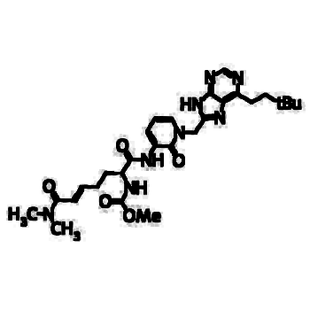 COC(=O)N[C@@H](CC/C=C/C(=O)N(C)C)C(=O)Nc1cccn(Cc2nc3c(CCC(C)(C)C)ncnc3[nH]2)c1=O